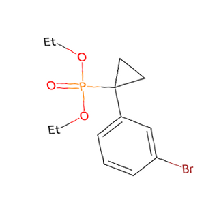 CCOP(=O)(OCC)C1(c2cccc(Br)c2)CC1